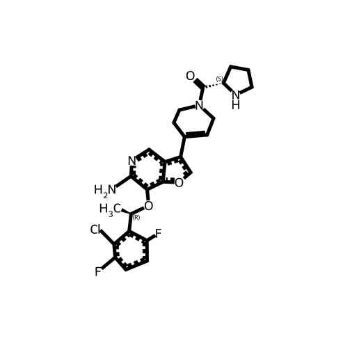 C[C@@H](Oc1c(N)ncc2c(C3=CCN(C(=O)[C@@H]4CCCN4)CC3)coc12)c1c(F)ccc(F)c1Cl